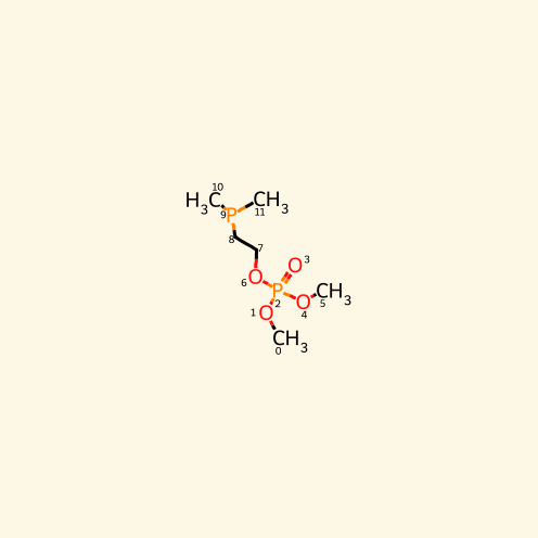 COP(=O)(OC)OCCP(C)C